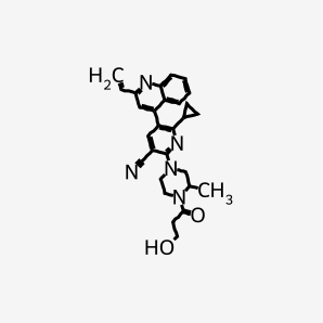 C=Cc1cc(-c2cc(C#N)c(N3CCN(C(=O)CCO)C(C)C3)nc2C2CC2)c2ccccc2n1